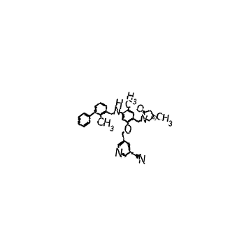 Cc1cc(CN2C[C@@H](C)CC2=O)c(OCc2cncc(C#N)c2)cc1NCc1cccc(-c2ccccc2)c1C